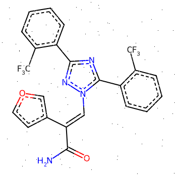 NC(=O)C(=Cn1nc(-c2ccccc2C(F)(F)F)nc1-c1ccccc1C(F)(F)F)c1ccoc1